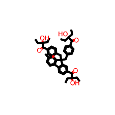 CCC(O)(CC)C(=O)c1ccc(CC2(Cc3ccc(C(=O)C(O)(CC)CC)cc3)c3cc(C)ccc3-c3ccc(C(=O)C(O)(CC)CC)cc32)cc1